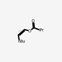 CCCC/C=C\OC(=O)C(C)C